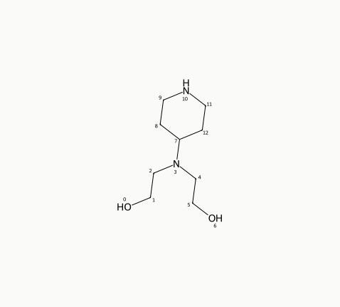 OCCN(CCO)C1CCNCC1